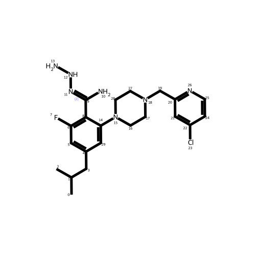 CC(C)Cc1cc(F)c(/C(N)=N/NN)c(N2CCN(Cc3cc(Cl)ccn3)CC2)c1